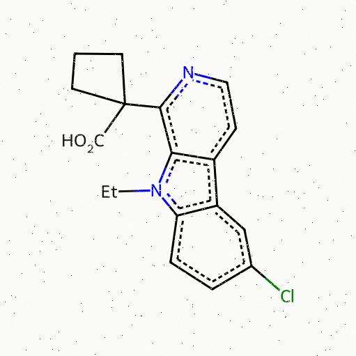 CCn1c2ccc(Cl)cc2c2ccnc(C3(C(=O)O)CCC3)c21